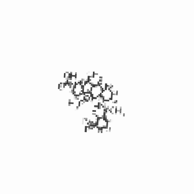 COC1(c2cc3c(N[C@H](C)c4cccc(C(F)F)c4F)ccnc3cc2C(C)=O)CCN(C(=O)O)CC1